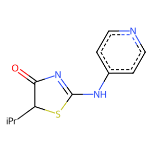 CC(C)C1SC(Nc2ccncc2)=NC1=O